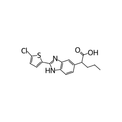 CCCC(C(=O)O)c1ccc2[nH]c(-c3ccc(Cl)s3)nc2c1